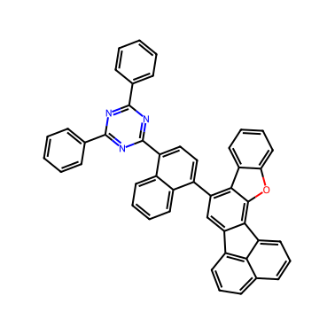 c1ccc(-c2nc(-c3ccccc3)nc(-c3ccc(-c4cc5c(c6oc7ccccc7c46)-c4cccc6cccc-5c46)c4ccccc34)n2)cc1